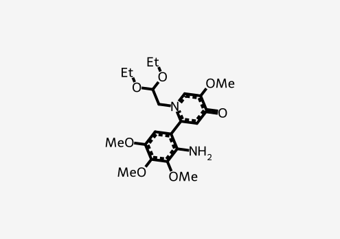 CCOC(Cn1cc(OC)c(=O)cc1-c1cc(OC)c(OC)c(OC)c1N)OCC